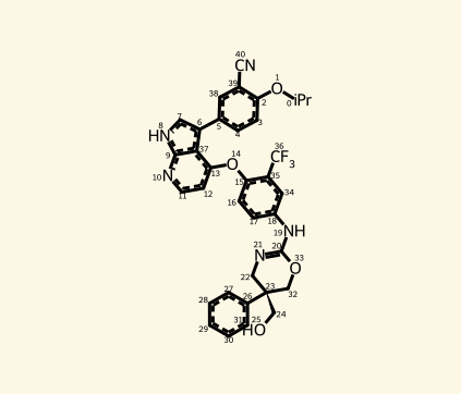 CC(C)Oc1ccc(-c2c[nH]c3nccc(Oc4ccc(NC5=NC[C@@](CO)(c6ccccc6)CO5)cc4C(F)(F)F)c23)cc1C#N